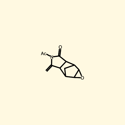 C=C1C2C3CC(C4OC34)C2C(=O)N1C(C)=O